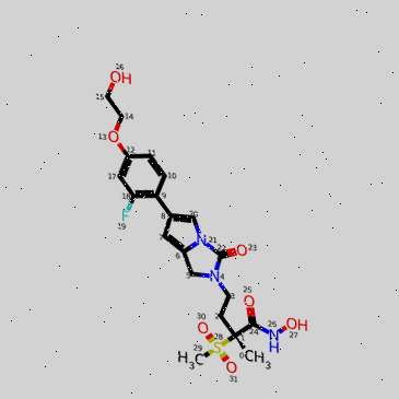 C[C@@](CCN1Cc2cc(-c3ccc(OCCO)cc3F)cn2C1=O)(C(=O)NO)S(C)(=O)=O